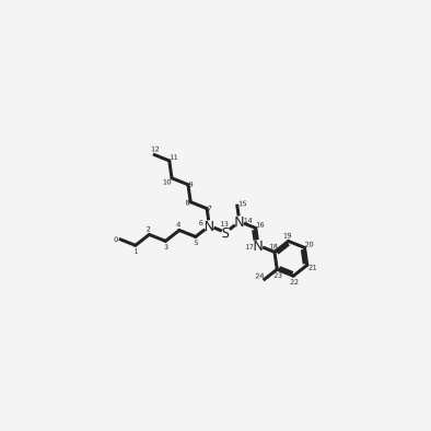 CCCCCCN(CCCCCC)SN(C)C=Nc1ccccc1C